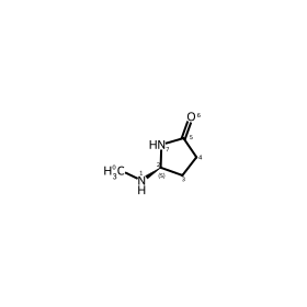 CN[C@@H]1CCC(=O)N1